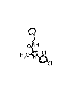 Cc1nc(-c2ccc(Cl)cc2Cl)sc1C(=O)NCCN1CCCCC1